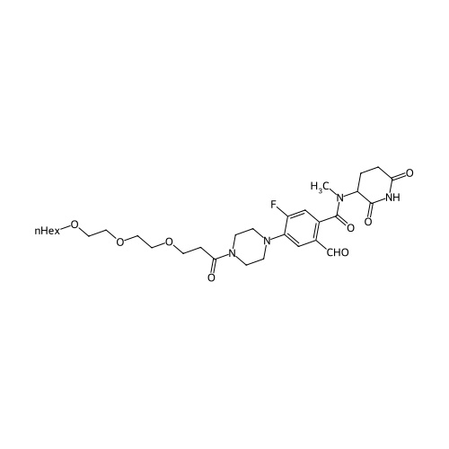 CCCCCCOCCOCCOCCC(=O)N1CCN(c2cc(C=O)c(C(=O)N(C)C3CCC(=O)NC3=O)cc2F)CC1